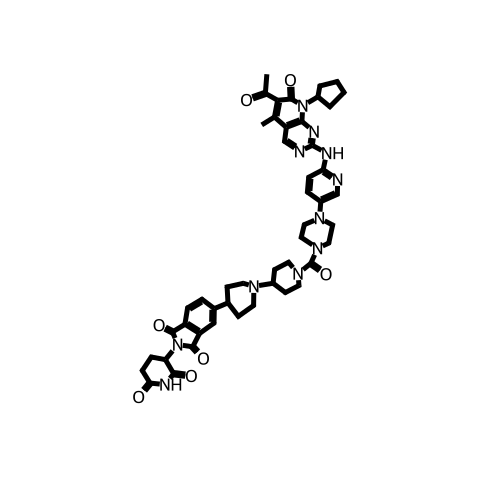 CC(=O)c1c(C)c2cnc(Nc3ccc(N4CCN(C(=O)N5CCC(N6CCC(c7ccc8c(c7)C(=O)N(C7CCC(=O)NC7=O)C8=O)CC6)CC5)CC4)cn3)nc2n(C2CCCC2)c1=O